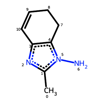 Cc1nc2c(n1N)CCC=C2